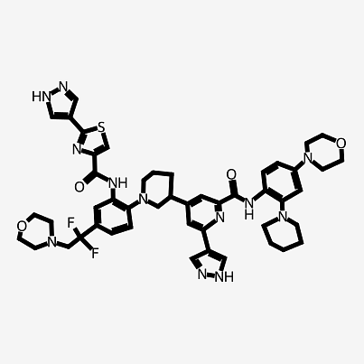 O=C(Nc1ccc(N2CCOCC2)cc1N1CCCCC1)c1cc(C2CCCN(c3ccc(C(F)(F)CN4CCOCC4)cc3NC(=O)c3csc(-c4cn[nH]c4)n3)C2)cc(-c2cn[nH]c2)n1